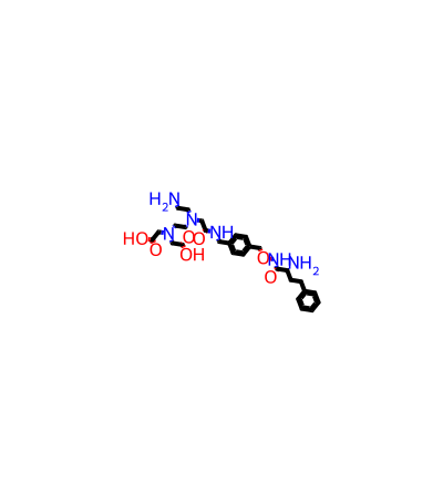 NCCN(CCN(CC(=O)O)CC(=O)O)CC(=O)NCc1ccc(CONC(=O)[C@H](N)CCc2ccccc2)cc1